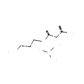 CCCCOC(=O)CC(C)=O.OB(O)O